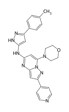 Cc1ccc(-c2cc(Nc3cc(N4CCOCC4)n4nc(-c5ccncc5)cc4n3)[nH]n2)cc1